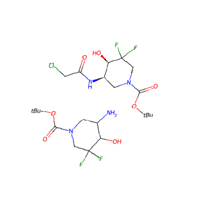 CC(C)(C)OC(=O)N1CC(N)C(O)C(F)(F)C1.CC(C)(C)OC(=O)N1C[C@@H](NC(=O)CCl)[C@@H](O)C(F)(F)C1